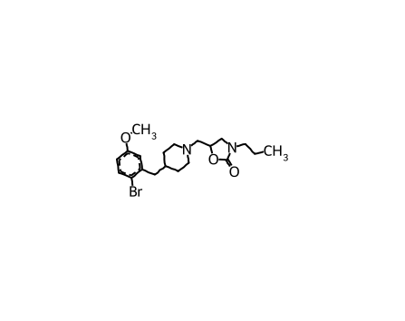 CCCN1CC(CN2CCC(Cc3cc(OC)ccc3Br)CC2)OC1=O